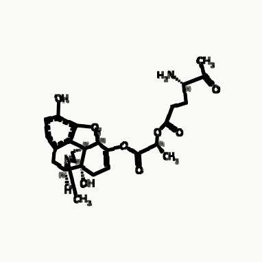 CC(=O)[C@@H](N)CCC(=O)O[C@@H](C)C(=O)OC1=CC[C@@]2(O)[C@H]3Cc4ccc(O)c5c4[C@@]2(CCN3C)[C@H]1O5